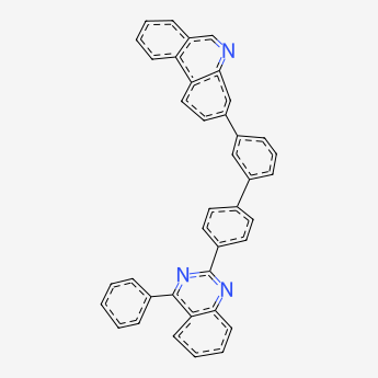 c1ccc(-c2nc(-c3ccc(-c4cccc(-c5ccc6c(c5)ncc5ccccc56)c4)cc3)nc3ccccc23)cc1